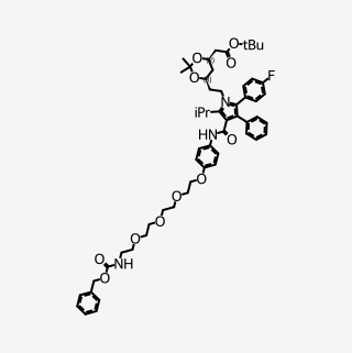 CC(C)c1c(C(=O)Nc2ccc(OCCOCCOCCOCCNC(=O)OCc3ccccc3)cc2)c(-c2ccccc2)c(-c2ccc(F)cc2)n1CC[C@@H]1C[C@H](CC(=O)OC(C)(C)C)OC(C)(C)O1